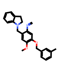 C=Nc1cc(OCc2cccc(C)c2)c(OC)cc1CN1CCc2ccccc21